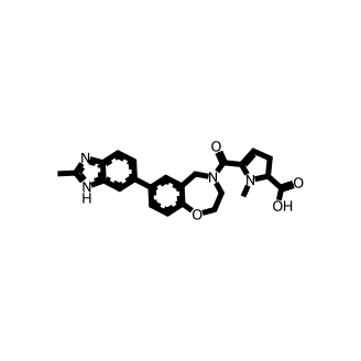 Cc1nc2ccc(-c3ccc4c(c3)CN(C(=O)C3=CCC(C(=O)O)N3C)CCO4)cc2[nH]1